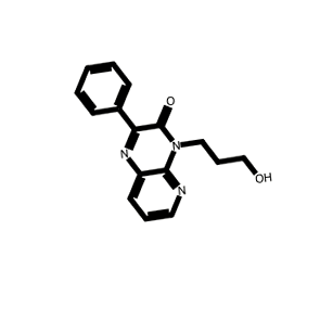 O=c1c(-c2ccccc2)nc2cccnc2n1CCCO